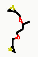 CC(CCOCC1CS1)OCC1CS1